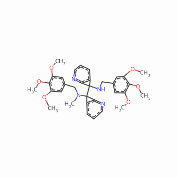 COc1cc(CNC2(C3(N(C)Cc4cc(OC)c(OC)c(OC)c4)c4cccnc43)c3cccnc32)cc(OC)c1OC